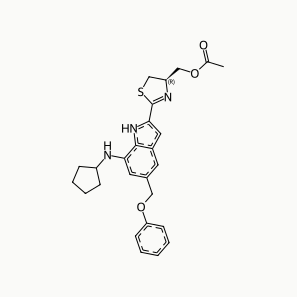 CC(=O)OC[C@@H]1CSC(c2cc3cc(COc4ccccc4)cc(NC4CCCC4)c3[nH]2)=N1